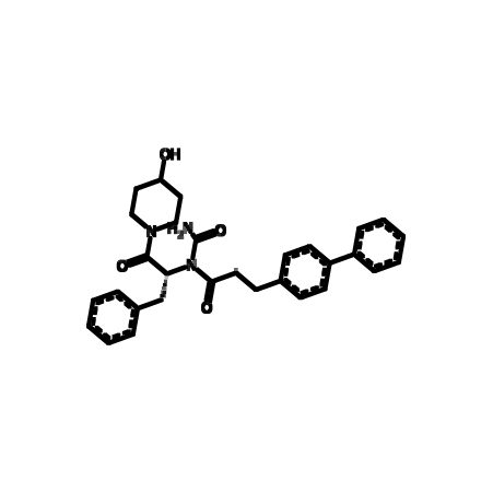 NC(=O)N(C(=O)[CH]Cc1ccc(-c2ccccc2)cc1)[C@H](Cc1ccccc1)C(=O)N1CCC(O)CC1